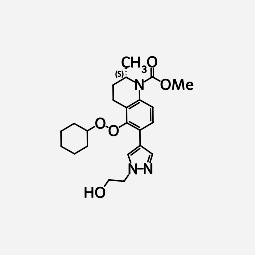 COC(=O)N1c2ccc(-c3cnn(CCO)c3)c(OOC3CCCCC3)c2CC[C@@H]1C